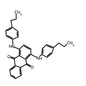 CCCc1ccc(Nc2ccc(Nc3ccc(CCC)cc3)c3c2C(=O)c2ccccc2C3=O)cc1